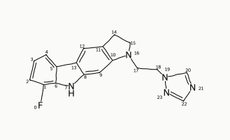 Fc1cccc2c1[nH]c1cc3c(cc12)CCN3CCn1cncn1